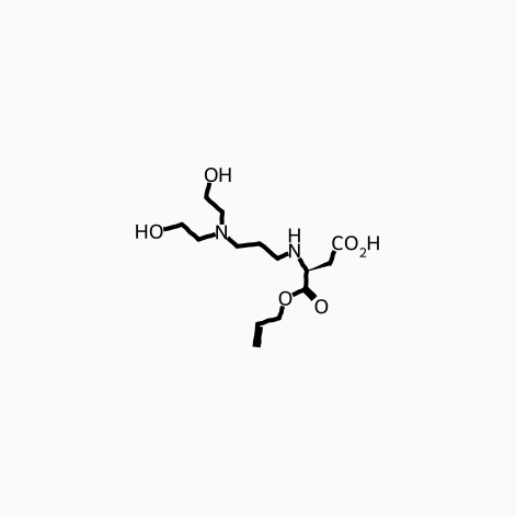 C=CCOC(=O)[C@H](CC(=O)O)NCCCN(CCO)CCO